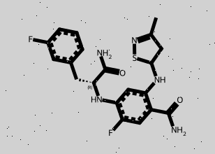 CC1=NSC(Nc2cc(N[C@H](Cc3cccc(F)c3)C(N)=O)c(F)cc2C(N)=O)C1